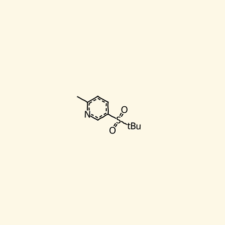 Cc1ccc(S(=O)(=O)C(C)(C)C)cn1